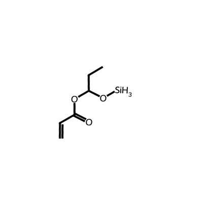 C=CC(=O)OC(CC)O[SiH3]